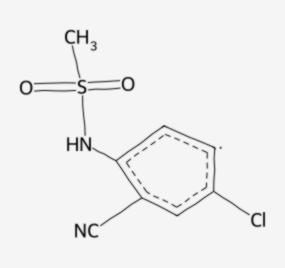 CS(=O)(=O)Nc1c[c]c(Cl)cc1C#N